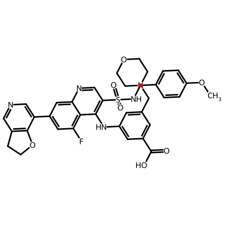 COc1ccc(CNS(=O)(=O)c2cnc3cc(-c4cncc5c4OCC5)cc(F)c3c2Nc2cc(CN3CCOCC3)cc(C(=O)O)c2)cc1